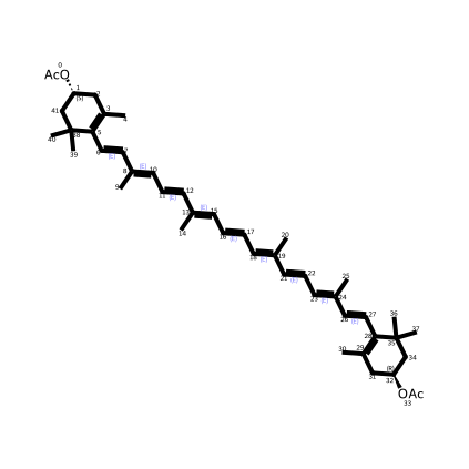 CC(=O)O[C@@H]1CC(C)=C(/C=C/C(C)=C/C=C/C(C)=C/C=C/C=C(C)/C=C/C=C(C)/C=C/C2=C(C)C[C@H](OC(C)=O)CC2(C)C)C(C)(C)C1